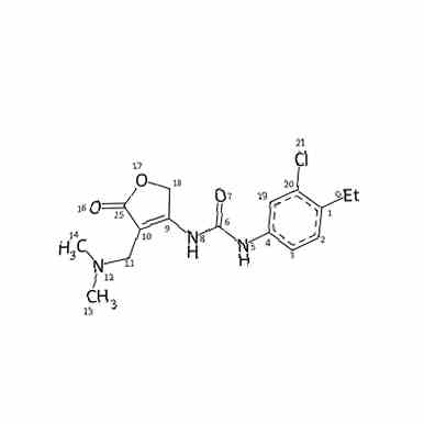 CCc1ccc(NC(=O)NC2=C(CN(C)C)C(=O)OC2)cc1Cl